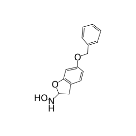 ONC1Cc2ccc(OCc3ccccc3)cc2O1